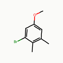 COc1cc(C)c(C)c(Br)c1